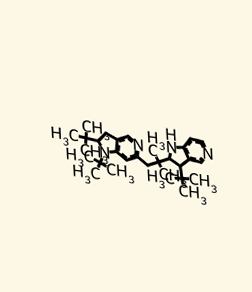 CC(C)(C)C1c2cnccc2NC1C(C)(C)Cc1cc2c(cn1)CC(C(C)(C)C)N2C(C)(C)C